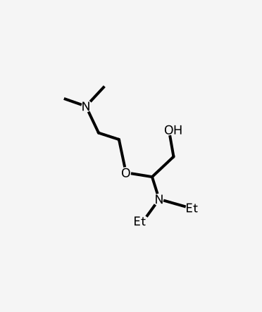 CCN(CC)C(CO)OCCN(C)C